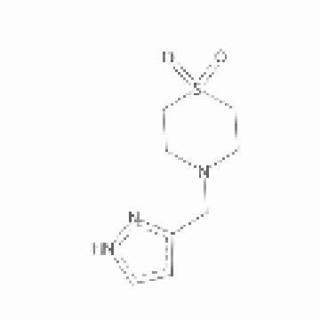 O=S1(=O)CCN(Cc2cc[nH]n2)CC1